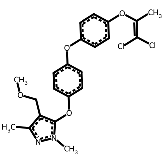 COCc1c(C)nn(C)c1Oc1ccc(Oc2ccc(OC(C)=C(Cl)Cl)cc2)cc1